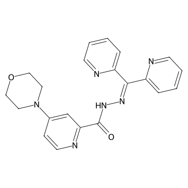 O=C(NN=C(c1ccccn1)c1ccccn1)c1cc(N2CCOCC2)ccn1